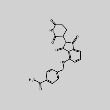 NC(=O)c1ccc(CNc2cccc3c2C(=O)N(C2CCC(=O)NC2=O)C3=O)cc1